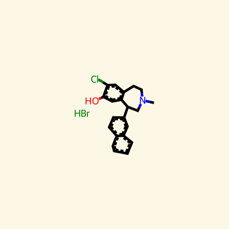 Br.CN1CCc2cc(Cl)c(O)cc2C(c2ccc3ccccc3c2)C1